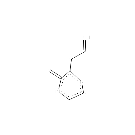 C=CCc1ncc[nH]c1=O